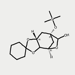 C[Si](C)(C)O[C@@]12C[C@@H](OC1O)C1OC3(CCCCC3)O[C@@H]1C2